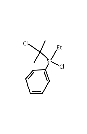 CC[Si](Cl)(c1ccccc1)C(C)(C)Cl